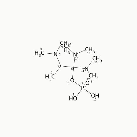 CC(N(C)C)C(OP(=O)(O)O)(N(C)C)N(C)C